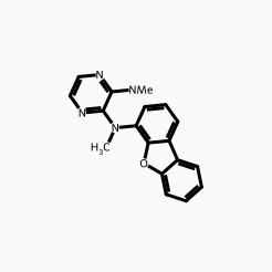 CNc1nccnc1N(C)c1cccc2c1oc1ccccc12